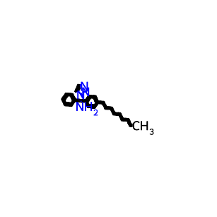 CCCCCCCCCc1ccc(C(N)(c2ccccc2)n2ccnn2)cc1